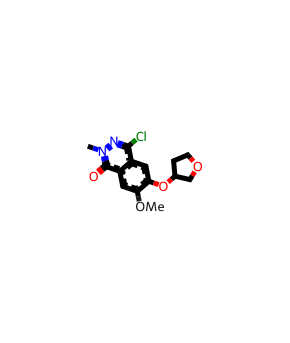 COc1cc2c(=O)n(C)nc(Cl)c2cc1OC1CCOC1